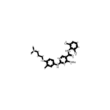 COc1nc(Nc2ccc(OCCCN(C)C)c(C)c2)ncc1C(=O)Nc1c(Cl)cccc1Cl